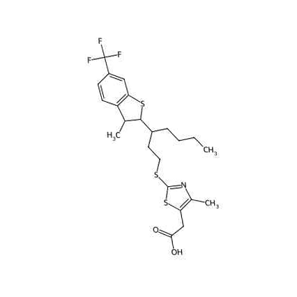 CCCCC(CCSc1nc(C)c(CC(=O)O)s1)C1Sc2cc(C(F)(F)F)ccc2C1C